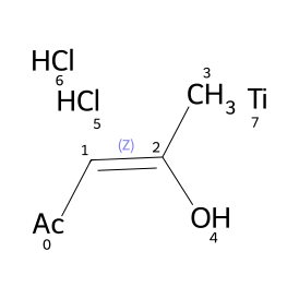 CC(=O)/C=C(/C)O.Cl.Cl.[Ti]